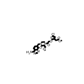 COCC1C(=O)N(Cc2ccc3c(N)ncnc3c2)CCN1C(=O)COc1sc(Cl)cc1CC(=O)OC